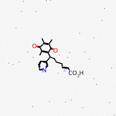 CC1=C(C)C(=O)C(C(CCC/C=C/C(=O)O)c2cccnc2)=C(C)C1=O